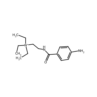 CC[N+](CC)(CC)CCNC(=O)c1ccc(N)cc1